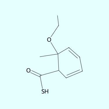 CCOC1(C)C=CC=CC1C(=O)S